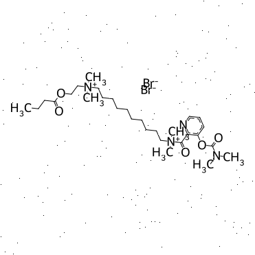 CCCC(=O)OCC[N+](C)(C)CCCCCCCCCC[N+](C)(C)C(=O)c1ncccc1OC(=O)N(C)C.[Br-].[Br-]